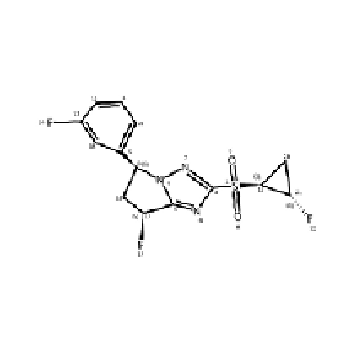 O=S(=O)(c1nc2n(n1)[C@H](c1cccc(F)c1)C[C@@H]2F)[C@H]1C[C@@H]1F